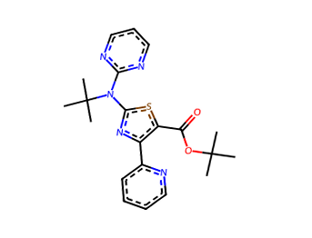 CC(C)(C)OC(=O)c1sc(N(c2ncccn2)C(C)(C)C)nc1-c1ccccn1